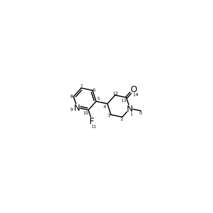 CN1CCC(c2cccnc2F)CC1=O